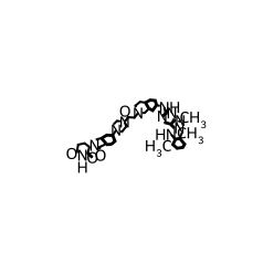 Cc1cccc(C)c1Nc1nn(C)c2nc(Nc3ccc4c(c3)CN(CC(=O)N3CCN(c5ccc6c(c5)CN(C5CCC(=O)NC5=O)C6=O)CC3)CC4)ncc12